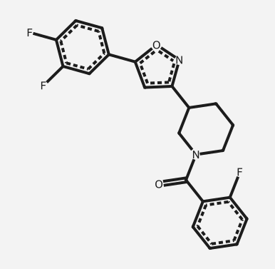 O=C(c1ccccc1F)N1CCCC(c2cc(-c3ccc(F)c(F)c3)on2)C1